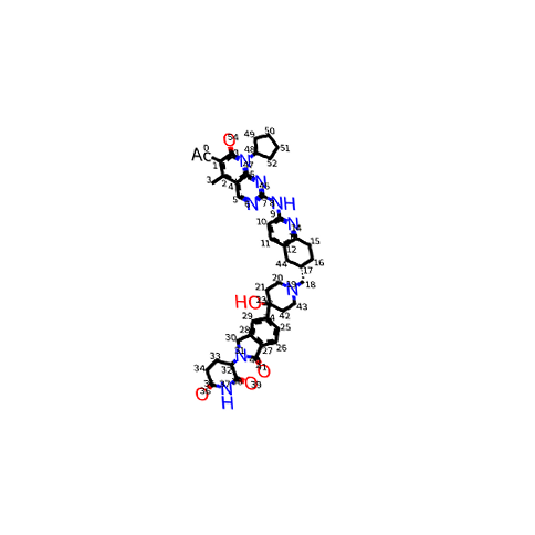 CC(=O)c1c(C)c2cnc(Nc3ccc4c(n3)CC[C@H](CN3CCC(O)(c5ccc6c(c5)CN(C5CCC(=O)NC5=O)C6=O)CC3)C4)nc2n(C2CCCC2)c1=O